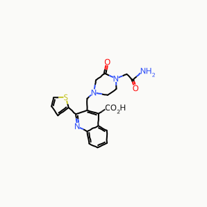 NC(=O)CN1CCN(Cc2c(-c3cccs3)nc3ccccc3c2C(=O)O)CC1=O